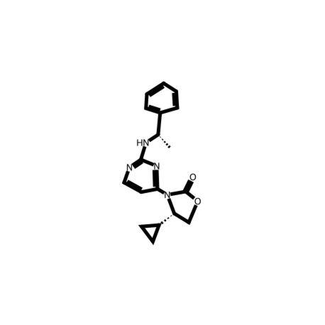 C[C@H](Nc1nccc(N2C(=O)OC[C@@H]2C2CC2)n1)c1ccccc1